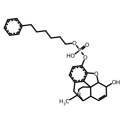 CN1CCC23c4c5ccc(OP(=O)(O)OCCCCCCc6ccccc6)c4OC2C(O)C=CC3C1C5